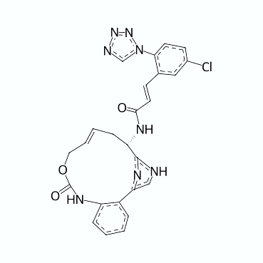 O=C(/C=C/c1cc(Cl)ccc1-n1cnnn1)N[C@H]1C/C=C/COC(=O)Nc2ccccc2-c2c[nH]c1n2